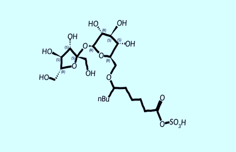 CCCCC(CCCCC(=O)OS(=O)(=O)O)OC[C@H]1O[C@H](O[C@]2(CO)O[C@H](CO)[C@@H](O)[C@@H]2O)[C@H](O)[C@@H](O)[C@@H]1O